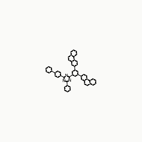 c1ccc(-c2ccc(-c3nc(-c4ccccc4)nc(-c4cc(-c5ccc6c(ccc7ccccc76)c5)cc(-c5ccc6c(ccc7ccccc76)c5)c4)n3)cc2)cc1